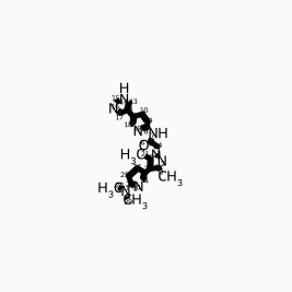 Cc1nn(CC(=O)Nc2ccc(C3=CNCN=C3)cn2)c(C)c1-c1ccc(N(C)C)nc1